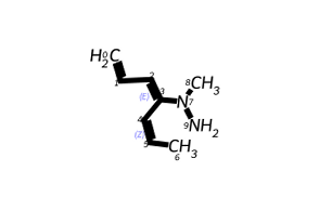 C=C/C=C(\C=C/C)N(C)N